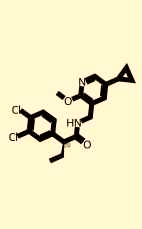 CC[C@H](C(=O)NCc1cc(C2CC2)cnc1OC)c1ccc(Cl)c(Cl)c1